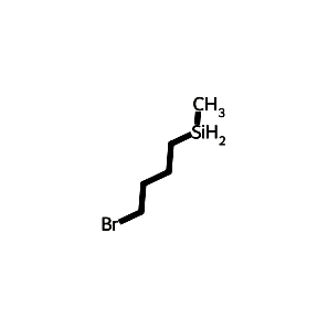 C[SiH2]CCCCBr